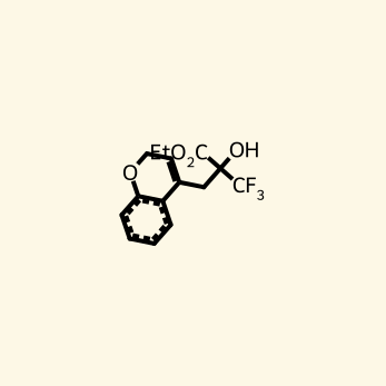 CCOC(=O)C(O)(CC1=CCOc2ccccc21)C(F)(F)F